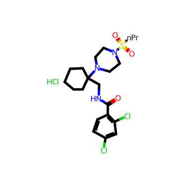 CCCS(=O)(=O)N1CCN(C2(CNC(=O)c3ccc(Cl)cc3Cl)CCCCC2)CC1.Cl